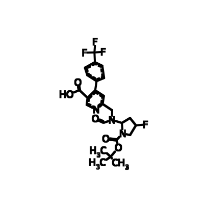 CC(C)(C)OC(=O)N1CC(F)CC1N(C=O)Cc1cc(-c2ccc(C(F)(F)F)cc2)c(C(=O)O)cn1